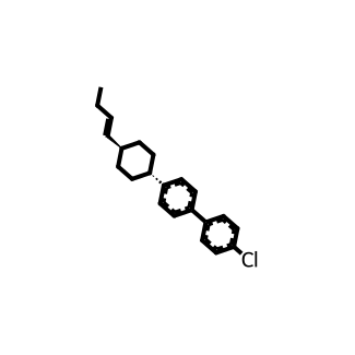 CCC=C[C@H]1CC[C@H](c2ccc(-c3ccc(Cl)cc3)cc2)CC1